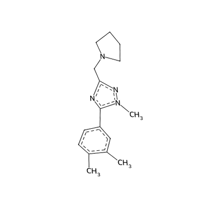 Cc1ccc(-c2nc(CN3CCCC3)nn2C)cc1C